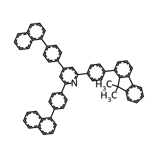 CC1(C)c2ccccc2-c2cccc(-c3ccc(-c4cc(-c5ccc(-c6cccc7ccccc67)cc5)cc(-c5ccc(-c6cccc7ccccc67)cc5)n4)cc3)c21